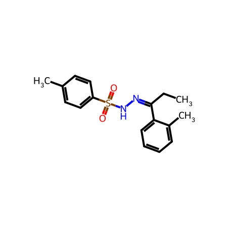 CCC(=NNS(=O)(=O)c1ccc(C)cc1)c1ccccc1C